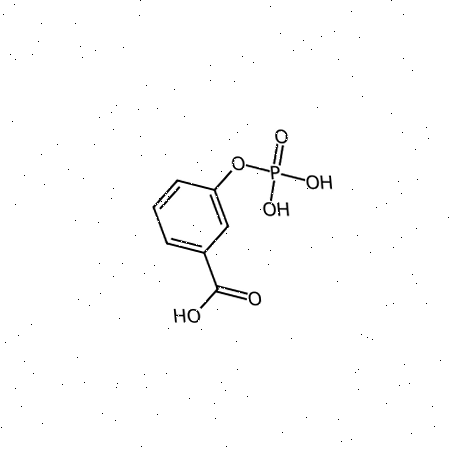 O=C(O)c1cccc(OP(=O)(O)O)c1